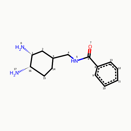 N[C@@H]1CC(CNC(=O)c2ccccc2)CC[C@@H]1N